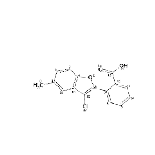 Cc1ccc2oc(-c3ccccc3C(=O)O)c(Cl)c2c1